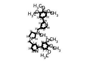 COc1cc(-c2cc(CN3CC[C@H](N(C)Cc4ccnc(-c5cc(OC)c(OC)c(OC)c5)c4)C3)ccn2)cc(OC)c1OC